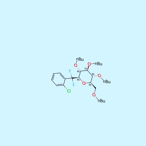 CCCCOC[C@H]1O[C@@H](C(F)(F)c2ccccc2Cl)[C@H](OCCCC)[C@@H](OCCCC)[C@@H]1OCCCC